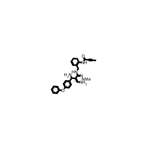 CC#CC(=O)NC1=C(CNC(=NNC)/C(=C\N)C(N)c2ccc(Oc3ccccc3)cc2)C=CCC1